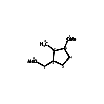 COCC1CCC(OC)C1C